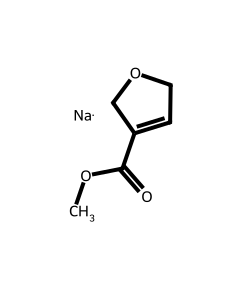 COC(=O)C1=CCOC1.[Na]